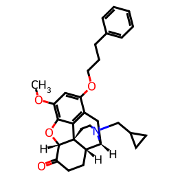 COc1cc(OCCCc2ccccc2)c2c3c1O[C@H]1C(=O)CC[C@H]4[C@@H](C2)N(CC2CC2)CC[C@]314